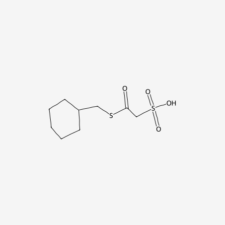 O=C(CS(=O)(=O)O)SCC1CCCCC1